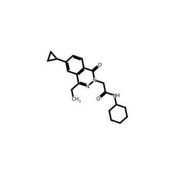 CCc1nn(CC(=O)NC2CCCCC2)c(=O)c2ccc(C3CC3)cc12